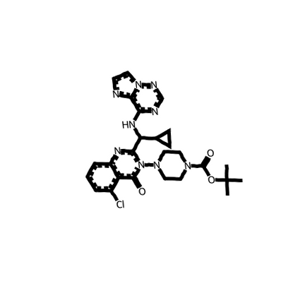 CC(C)(C)OC(=O)N1CCN(n2c(C(Nc3ncnn4ccnc34)C3CC3)nc3cccc(Cl)c3c2=O)CC1